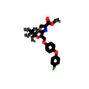 COC(=O)C1CSC(C(COc2ccc(Oc3ccc(F)cc3)cc2)O[Si](C)(C)C(C)(C)C)=N1